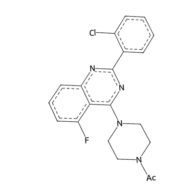 CC(=O)N1CCN(c2nc(-c3ccccc3Cl)nc3cccc(F)c23)CC1